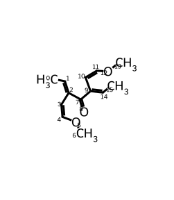 C/C=C(\C=C/OC)C(=O)C(/C=C\OC)=C/C